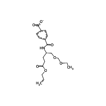 C=CCOC(=O)CCC(COCOCC)NC(=O)c1ccc([N+](=O)[O-])cc1